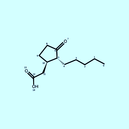 CCCCC[C@H]1C(=O)CC[C@@H]1CC(=O)O